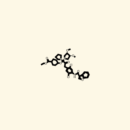 CCOC(=O)C1CCC(OC(C(=O)Cc2cc(Cl)c(NC(=O)c3coc4ccccc34)cc2Cl)(N2CCCC2)N2C[C@H](OC)[C@H](OC)C2)CC1